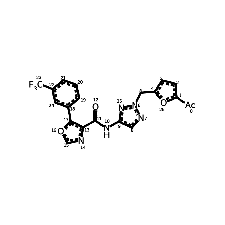 CC(=O)c1ccc(Cn2ncc(NC(=O)c3ncoc3-c3cccc(C(F)(F)F)c3)n2)o1